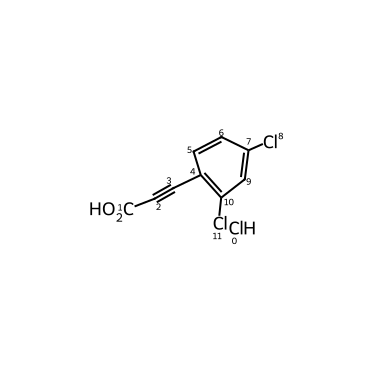 Cl.O=C(O)C#Cc1ccc(Cl)cc1Cl